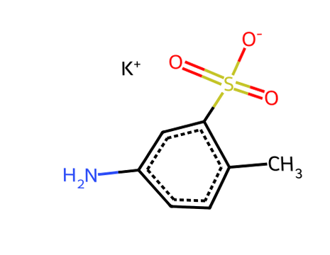 Cc1ccc(N)cc1S(=O)(=O)[O-].[K+]